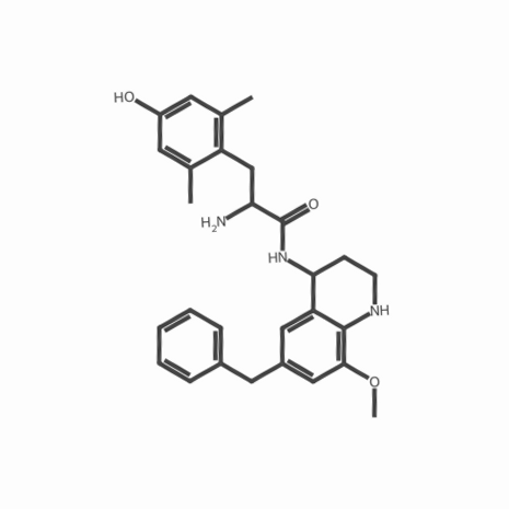 COc1cc(Cc2ccccc2)cc2c1NCCC2NC(=O)C(N)Cc1c(C)cc(O)cc1C